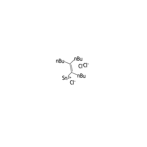 CCCC[C]([Sn+3])=C(CCCC)CCCC.[Cl-].[Cl-].[Cl-]